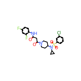 O=C(CC(=O)N1CCC(N(C2CC2)S(=O)(=O)c2cccc(Cl)c2)CC1)Nc1ccc(F)cc1F